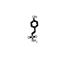 NS(=O)(=O)C=Cc1ccc(O)cc1